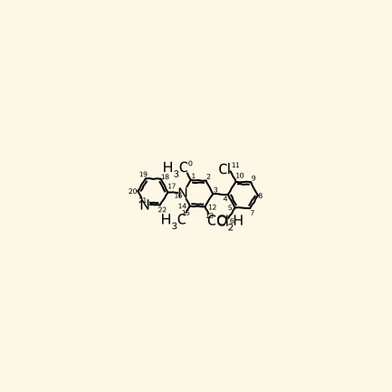 CC1=CC(c2c(Cl)cccc2Cl)C(C(=O)O)=C(C)N1c1cccnc1